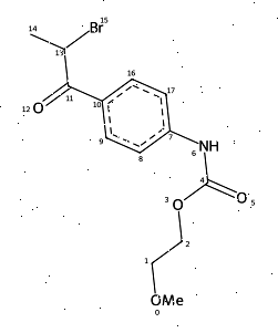 COCCOC(=O)Nc1ccc(C(=O)C(C)Br)cc1